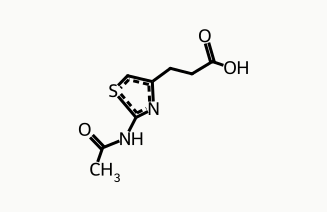 CC(=O)Nc1nc(CCC(=O)O)cs1